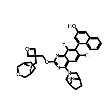 Oc1cc(-c2c(Cl)cc3c(N4CC5CCC(C4)N5)nc(OCC4(CN5C6CCC5COC6)COC4)nc3c2F)c2ccccc2c1